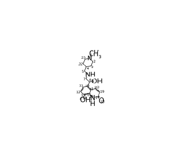 CN1CCC(CNCC(O)c2ccc(O)c3[nH]c(=O)ccc23)CC1